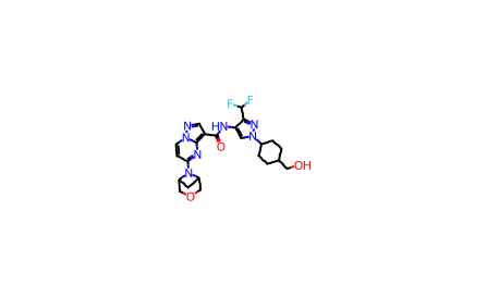 O=C(Nc1cn(C2CCC(CO)CC2)nc1C(F)F)c1cnn2ccc(N3C4COCC3C4)nc12